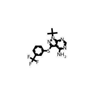 CC(C)(C)n1nc(Sc2cccc(C(F)(F)F)c2)c2c(N)ncnc21